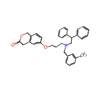 O=C1Cc2cc(OCCCN(Cc3cccc(C(F)(F)F)c3)CC(c3ccccc3)c3ccccc3)ccc2CO1